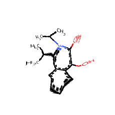 CC(C)c1c2ccccc2c(O)c(O)[n+]1C(C)C